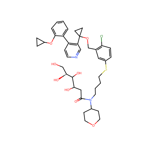 O=C(CC(O)C(O)[C@@H](O)CO)N(CCCCSc1ccc(Cl)c(COC2(c3cnccc3-c3ccccc3OC3CC3)CC2)c1)C1CCOCC1